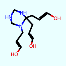 OC=CCN1CNCNC1(CC=CO)CC=CO